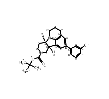 CC(C)(C)OC(=O)N1CC[C@H]2[C@@H](C1)c1cc(-c3cccc(Cl)c3)cc3c1N2CCC3